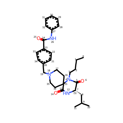 CCCCN1C(=O)[C@H](CC(C)C)NC(=O)C12CCN(Cc1ccc(C(=O)Nc3ccccc3)cc1)CC2